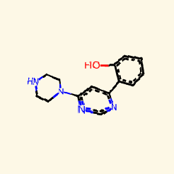 Oc1ccccc1-c1cc(N2CCNCC2)ncn1